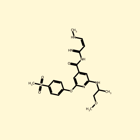 CN/C=C\C(=N)NC(=O)c1cc(NC(C)COC)nc(Oc2ccc(S(C)(=O)=O)cc2)c1